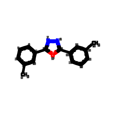 Cc1cccc(-c2nnc(-c3cccc(C)c3)o2)c1